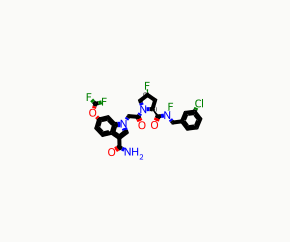 NC(=O)c1cn(CC(=O)N2C[C@H](F)C[C@H]2C(=O)N(F)Cc2cccc(Cl)c2)c2cc(OC(F)F)ccc12